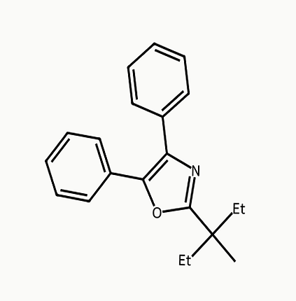 CCC(C)(CC)c1nc(-c2ccccc2)c(-c2ccccc2)o1